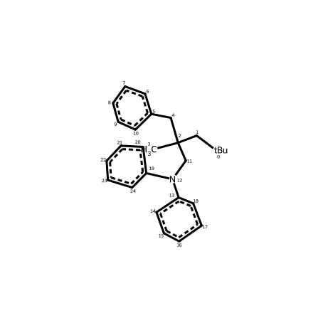 CC(C)(C)CC(C)(Cc1ccccc1)CN(c1ccccc1)c1ccccc1